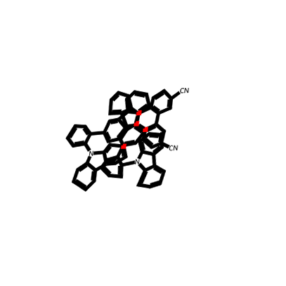 N#Cc1ccc(-n2c3ccccc3c3cc(-c4ccccc4-n4c5ccccc5c5ccccc54)ccc32)c(-c2cc(C#N)ccc2-n2c3ccccc3c3cc(-c4ccccc4-n4c5ccccc5c5ccccc54)ccc32)c1